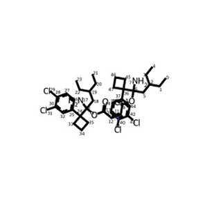 CCC(CC)CC(N)(OC(=O)/C=C\C(=O)OC(N)(CC(CC)CC)C1(c2ccc(Cl)c(Cl)c2)CCC1)C1(c2ccc(Cl)c(Cl)c2)CCC1